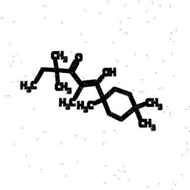 CCC(C)(C)C(=O)/C(C)=C(\O)C1(C)CCC(C)(C)CC1